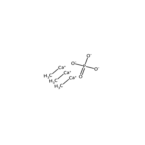 O=P([O-])([O-])[O-].[CH3][Ca+].[CH3][Ca+].[CH3][Ca+]